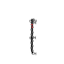 C#CCOCCOCCOCCOCCOCCC(=O)NCCOCCOCCOCCOCCOCCNC(=O)OC(C)(C)C